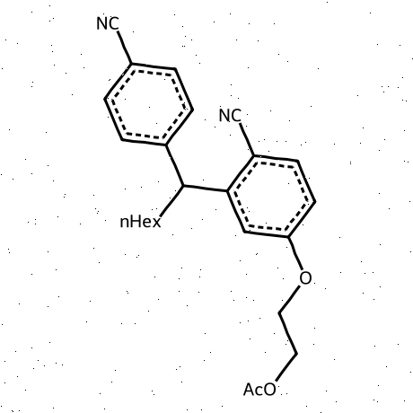 CCCCCCC(c1ccc(C#N)cc1)c1cc(OCCOC(C)=O)ccc1C#N